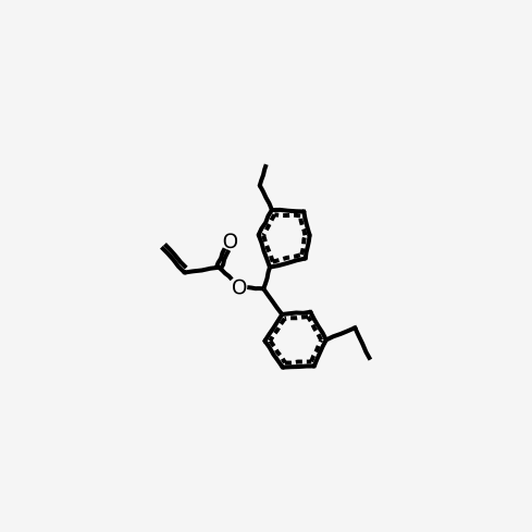 C=CC(=O)OC(c1cccc(CC)c1)c1cccc(CC)c1